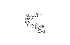 Cc1cnc(Nc2ccc(C3CCN(C(C)C)CC3)cc2Cl)nc1-c1cc2n(c1)CCN([C@H](CO)c1cccc(Cl)c1)C2=O